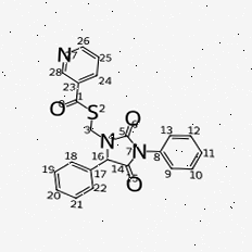 O=C(SCN1C(=O)N(c2ccccc2)C(=O)C1c1ccccc1)c1cccnc1